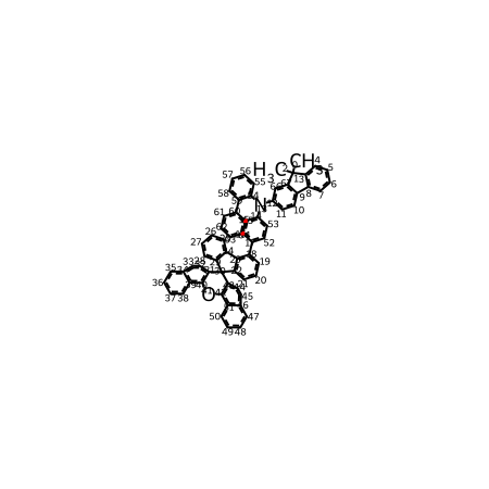 CC1(C)c2ccccc2-c2ccc(N(c3ccc(-c4cccc5c4-c4ccccc4C54c5ccc6ccccc6c5Oc5c4ccc4ccccc54)cc3)c3ccccc3-c3ccccc3)cc21